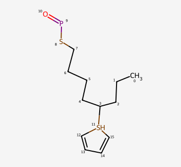 CCCC(CCCCSP=O)[SH]1C=CC=C1